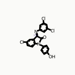 O=C1/C(=N\c2cc(Cl)cc(Cl)c2)c2cc(Cl)ccc2N1c1ccc(O)cc1